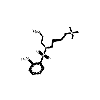 COCCN(CC=CC[Si](C)(C)C)S(=O)(=O)c1ccccc1[N+](=O)[O-]